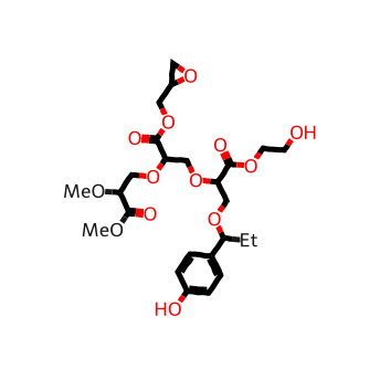 CCC(OCC(OCC(OCC(OC)C(=O)OC)C(=O)OCC1CO1)C(=O)OCCO)c1ccc(O)cc1